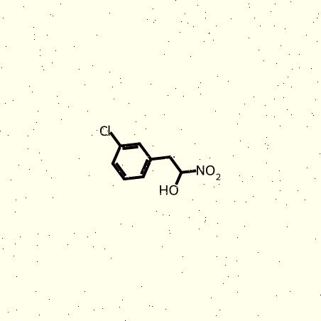 O=[N+]([O-])C(O)[CH]c1cccc(Cl)c1